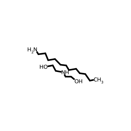 CCCCCCCCCCCCN.OCCNCCO